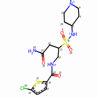 CC(C)N1CCC(NS(=O)(=O)C(CNC(=O)c2ccc(Cl)s2)CC(N)=O)CC1